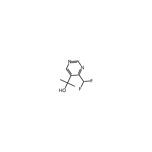 CC(C)(O)c1cn[c]nc1C(F)F